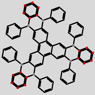 c1ccc(N(c2ccccc2)c2cc3c4cc(N(c5ccccc5)c5ccccc5)c(N(c5ccccc5)c5ccccc5)cc4c4cc(N(c5ccccc5)c5ccccc5)c(N(c5ccccc5)c5ccccc5)cc4c3cc2N(c2ccccc2)c2ccccc2)cc1